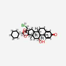 C[C@]12C=CC(=O)C=C1CC[C@@H]1[C@@H]2[C@@H](O)C[C@@]2(C)[C@H]1CC1O[C@@H](C3CCCCC3)O[C@]12C(=O)CBr